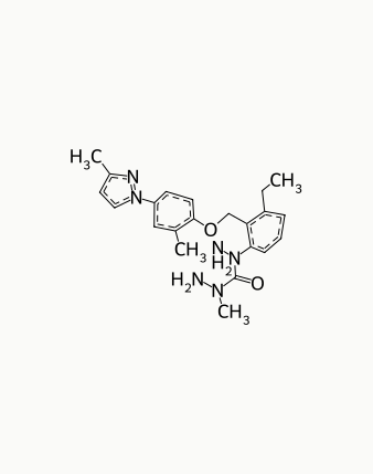 CCc1cccc(N(N)C(=O)N(C)N)c1COc1ccc(-n2ccc(C)n2)cc1C